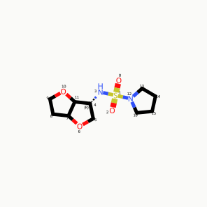 O=S(=O)(N[C@@H]1COC2CCOC21)N1CCCC1